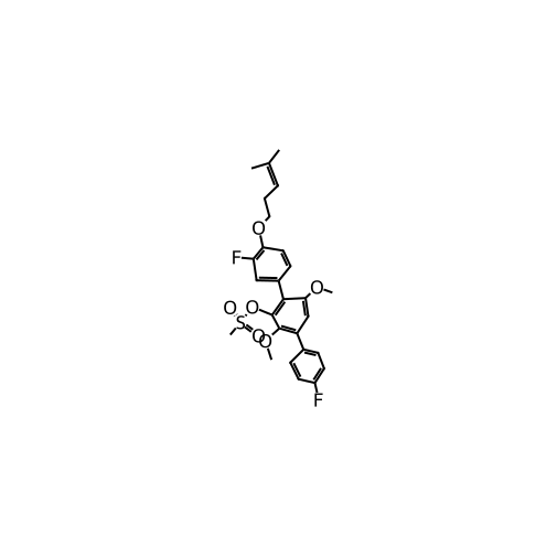 COc1cc(-c2ccc(F)cc2)c(OC)c(OS(C)(=O)=O)c1-c1ccc(OCCC=C(C)C)c(F)c1